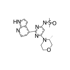 C[C@@H]1COCCN1c1cc(N=S(C)(C)=O)nc(-c2ccnc3[nH]ccc23)n1